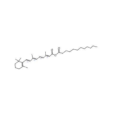 CCCCCCCCCCCC(=O)OC(=O)/C=C(C)/C=C/C=C(C)/C=C/C1=C(C)CCCC1(C)C